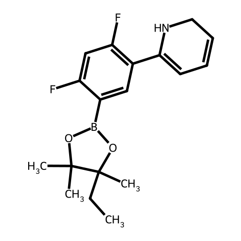 CCC1(C)OB(c2cc(C3=CC=CCN3)c(F)cc2F)OC1(C)C